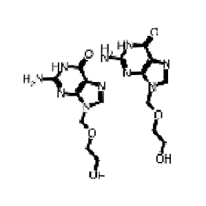 Nc1nc2c(ncn2COCCO)c(=O)[nH]1.Nc1nc2c(ncn2COCCO)c(=O)[nH]1